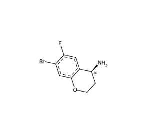 N[C@H]1CCOc2cc(Br)c(F)cc21